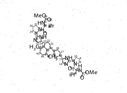 COC(=O)N[C@H](C(=O)N1CCC[C@H]1c1ncc(-c2ccc(-c3ccc(-c4cnc([C@@H]5CCCN5C(=O)[C@H](NC(=O)OC)C(C)C)[nH]4)c4c(C)ccc(C)c34)cc2)[nH]1)C(C)C